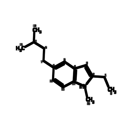 CCc1cc2cc(CCC(C)C)ccc2n1C